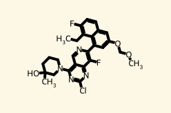 CCc1c(F)ccc2cc(OCOC)cc(-c3ncc4c(N5CCCC(C)(O)C5)nc(Cl)nc4c3F)c12